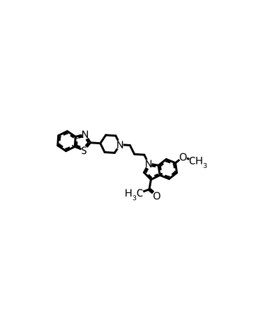 COc1ccc2c(C(C)=O)cn(CCCN3CCC(c4nc5ccccc5s4)CC3)c2c1